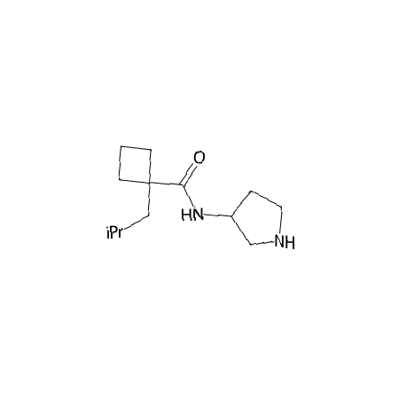 CC(C)CC1(C(=O)NC2CCNC2)CCC1